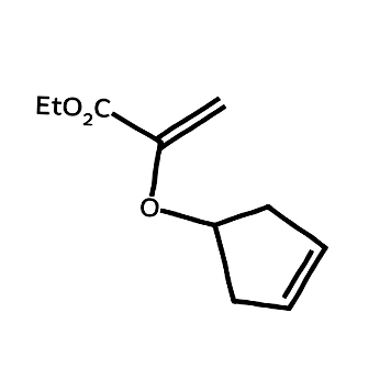 C=C(OC1CC=CC1)C(=O)OCC